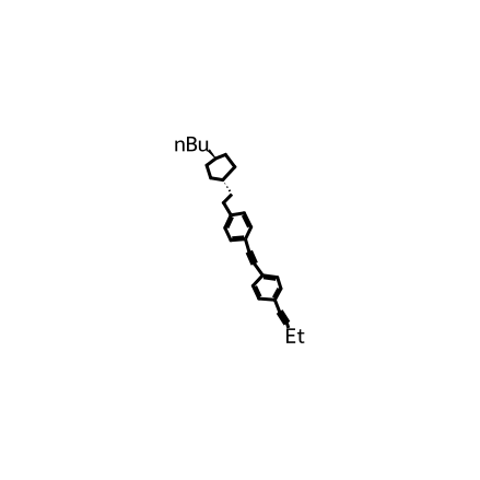 CCC#Cc1ccc(C#Cc2ccc(CC[C@H]3CC[C@H](CCCC)CC3)cc2)cc1